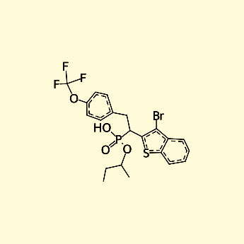 CCC(C)OP(=O)(O)C(Cc1ccc(OC(F)(F)F)cc1)c1sc2ccccc2c1Br